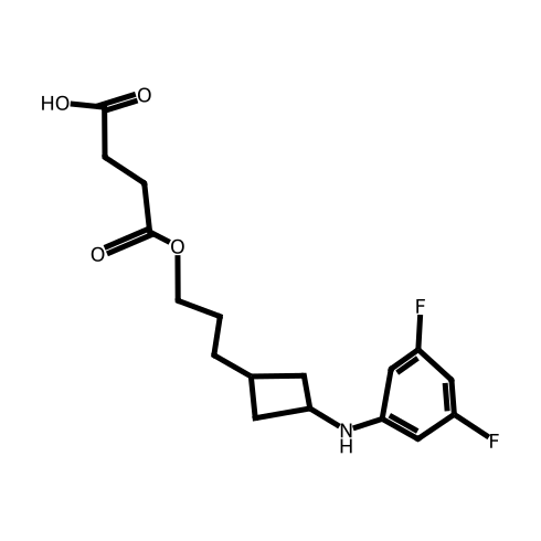 O=C(O)CCC(=O)OCCCC1CC(Nc2cc(F)cc(F)c2)C1